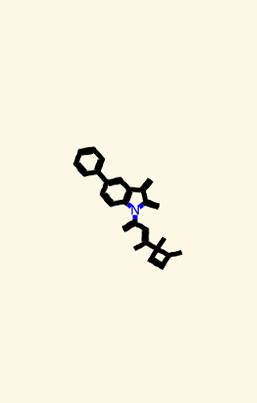 C=C(/C=C(\C)C1(C)C=CC1C)n1c(=C)c(=C)c2cc(-c3ccccc3)ccc21